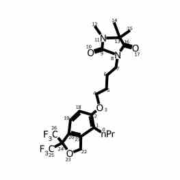 CCCc1c(OCCCCN2C(=O)N(C)C(C)(C)C2=O)ccc2c1COC2(C(F)(F)F)C(F)(F)F